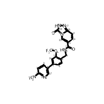 Nc1ccc(-c2ccc(CNC(=O)c3ccc4n[nH]c(=O)n4c3)c(OC(F)(F)F)c2)cn1